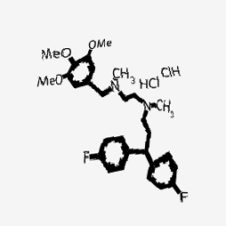 COc1cc(CN(C)CCN(C)CCC(c2ccc(F)cc2)c2ccc(F)cc2)cc(OC)c1OC.Cl.Cl